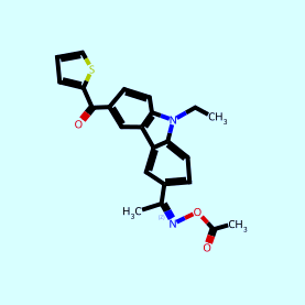 CCn1c2ccc(C(=O)c3cccs3)cc2c2cc(/C(C)=N\OC(C)=O)ccc21